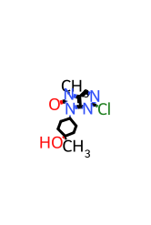 Cn1c(=O)n([C@H]2CC[C@@](C)(O)CC2)c2nc(Cl)ncc21